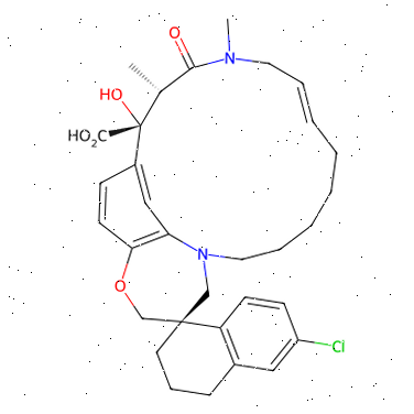 C[C@@H]1C(=O)N(C)C/C=C/CCCCCN2C[C@@]3(CCCc4cc(Cl)ccc43)COc3ccc(cc32)[C@@]1(O)C(=O)O